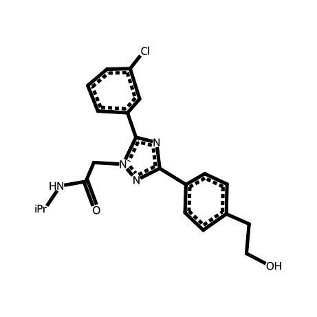 CC(C)NC(=O)Cn1nc(-c2ccc(CCO)cc2)nc1-c1cccc(Cl)c1